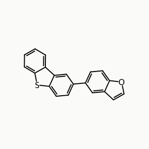 c1ccc2c(c1)sc1ccc(-c3ccc4occc4c3)cc12